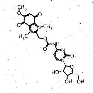 COC1=CC(=O)c2c(c(C)c(COC(=O)Nc3ccn([C@@H]4O[C@H](CO)[C@@H](O)[C@@H]4O)c(=O)n3)n2C)C1=O